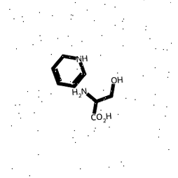 C1=CCNC=C1.NC(CO)C(=O)O